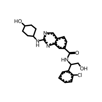 O=C(NC(CO)c1ccccc1Cl)c1ccc2cnc(NC3CCC(O)CC3)nc2c1